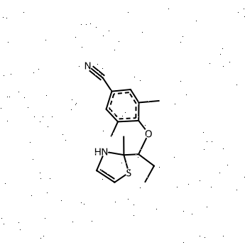 CCC(Oc1c(C)cc(C#N)cc1C)C1(C)NC=CS1